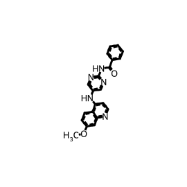 COc1ccc2c(Nc3cnc(NC(=O)c4ccccc4)nc3)ccnc2c1